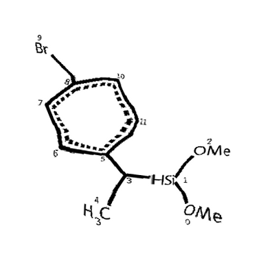 CO[SiH](OC)C(C)c1ccc(Br)cc1